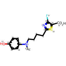 CC(=O)N(CCCCc1nc(F)c(C(=O)O)s1)c1ccc(O)cc1